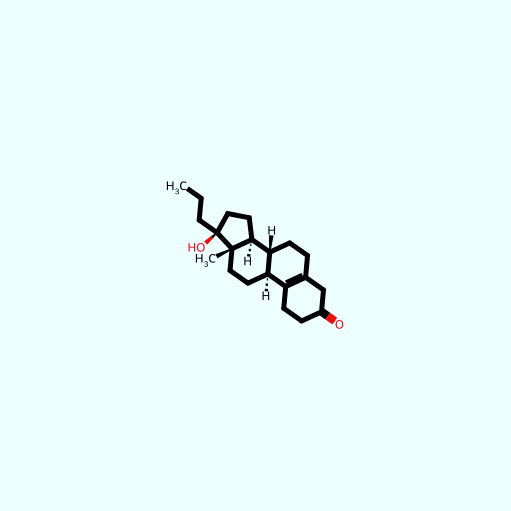 CCC[C@]1(O)CC[C@H]2[C@@H]3CCC4=C(CCC(=O)C4)[C@H]3CC[C@@]21C